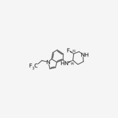 F[C@H]1CNCC[C@H]1Nc1cccc2c1ccn2CC(F)(F)F